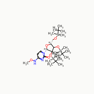 CONc1ccn([C@@H]2O[C@H](CO[Si](C)(C)C(C)(C)C)C(O[Si](C)(C)C(C)(C)C)C2(C)O[Si](C)(C)C(C)(C)C)c(=O)n1